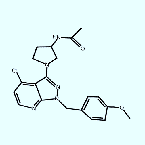 COc1ccc(Cn2nc(N3CCC(NC(C)=O)C3)c3c(Cl)ccnc32)cc1